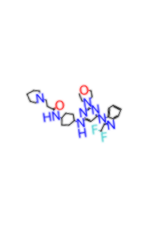 O=C(CCN1CCCCC1)N[C@H]1CC[C@H](Nc2cc(-n3c(C(F)F)nc4ccccc43)nc(N3CCOCC3)n2)CC1